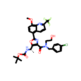 COc1ccc(-c2nc(C(=O)N(CCO)Cc3ccc(Cl)cc3)c([C@H](C)NC(=O)OC(C)(C)C)o2)c2ccc(C(F)(F)F)nc12